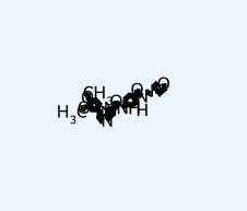 COc1ccc(-c2ccnc3cc(C(=O)NC4CCC(C(=O)NCCN5CCOCC5)CC4)nn23)cc1OC